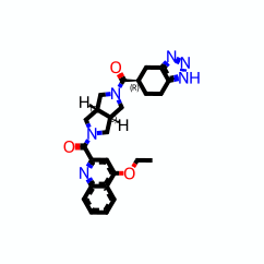 CCOc1cc(C(=O)N2C[C@@H]3CN(C(=O)[C@@H]4CCc5[nH]nnc5C4)C[C@H]3C2)nc2ccccc12